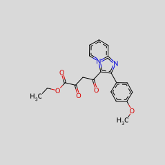 CCOC(=O)C(=O)CC(=O)c1c(-c2ccc(OC)cc2)nc2ccccn12